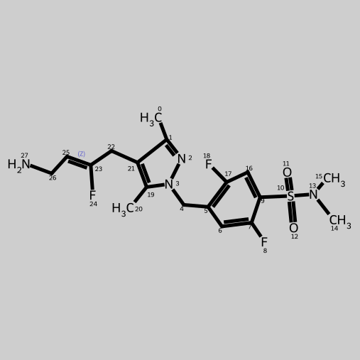 Cc1nn(Cc2cc(F)c(S(=O)(=O)N(C)C)cc2F)c(C)c1C/C(F)=C/CN